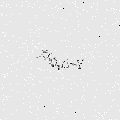 CCS(=O)(=O)NC[C@H]1CC[C@H](Nc2ccc(-c3cccc(F)c3)cn2)CC1